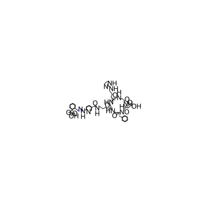 O=C(O)C[C@@H]1NC(=O)CNC(=O)[C@H](CCCNC2=NCCN2)NC(=O)[C@H](CCCCNC(=O)c2ccc(N/N=C/c3ccccc3S(=O)(=O)O)nc2)NC(=O)[C@@H](Cc2ccccc2)NC1=O